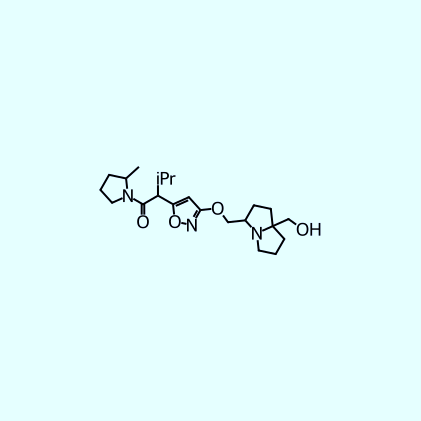 CC(C)C(C(=O)N1CCCC1C)c1cc(OCC2CCC3(CO)CCCN23)no1